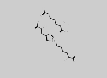 N=C(N)NCCC[C@H](N)C(=O)O.NCCCC[C@H](N)C(=O)O.N[C@@H](Cc1c[nH]cn1)C(=O)O